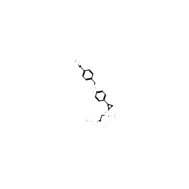 N#Cc1ccc(COc2ccc(C3CC3NCC(=O)O)cc2)cc1